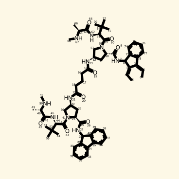 C/C=C1\C(=C/C)C(NC(=O)[C@@H]2C[C@H](NC(=O)CCCC(=O)N[C@H]3C[C@@H](C(=O)NC4c5ccccc5-c5ccccc54)N(C(=O)[C@@H](NC(=O)[C@H](C)NC)C(C)(C)C)C3)CN2C(=O)[C@@H](NC(=O)[C@H](C)NC)C(C)(C)C)c2ccccc21